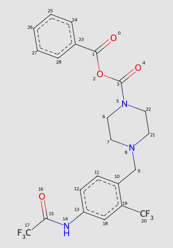 O=C(OC(=O)N1CCN(Cc2ccc(NC(=O)C(F)(F)F)cc2C(F)(F)F)CC1)c1ccccc1